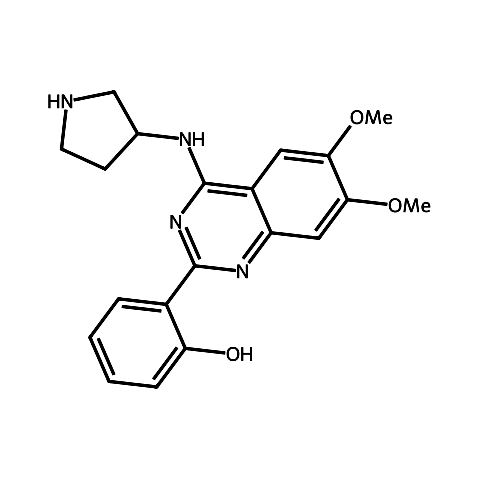 COc1cc2nc(-c3ccccc3O)nc(NC3CCNC3)c2cc1OC